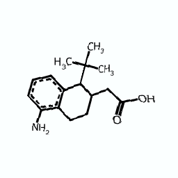 CC(C)(C)C1c2cccc(N)c2CCC1CC(=O)O